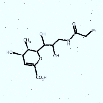 CC(C)CC(=O)NCC(O)C(O)C1OC(C(=O)O)=C[C@@H](O)[C@H]1C